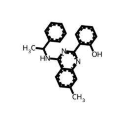 Cc1ccc2c(NC(C)c3ccccc3)nc(-c3ccccc3O)nc2c1